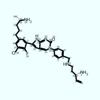 C=C[C@@H](N)CCNCc1ccc(-n2cc3cc(-c4cc(CCC[C@H](C)N)cc(Cl)c4F)[nH]c3nc2=O)cc1